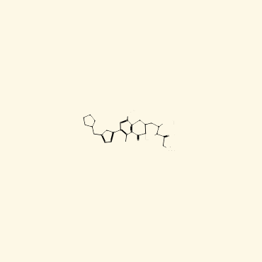 CCCC(CC1CC(=O)c2c(C)c(C3=CC=C(CC4CCCC4)C3)cc(C(C)C)c2C1)C(CC)C(=O)CC(C)=O